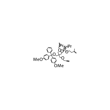 C#CCOCC(COCC=C)(COP(OCCC(=C)C)N(C(C)C)C(C)C)COC(c1ccccc1)(c1ccc(OC)cc1)c1ccc(OC)cc1